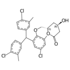 Cc1cc(C(c2ccc(Cl)c(C)c2)c2cc(Cl)cc(C)c2OC[C@@H]2C[C@@H](O)CC(=O)O2)ccc1Cl